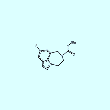 CC(C)(C)OC(=O)N1CCn2ccc3cc(F)cc(c32)C1